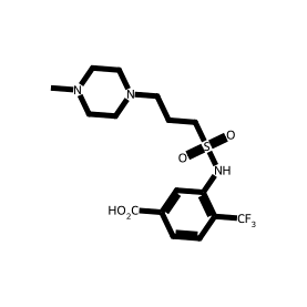 CN1CCN(CCCS(=O)(=O)Nc2cc(C(=O)O)ccc2C(F)(F)F)CC1